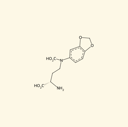 N[C@@H](CCN(C(=O)O)c1ccc2c(c1)OCO2)C(=O)O